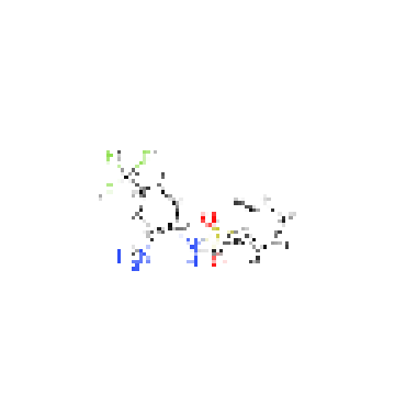 Nc1cc(C(F)(F)F)ccc1NS(=O)(=O)c1ccccc1